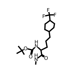 CNC(=O)C(CCCC1CCC(C(F)(F)F)CC1)NC(=O)OC(C)(C)C